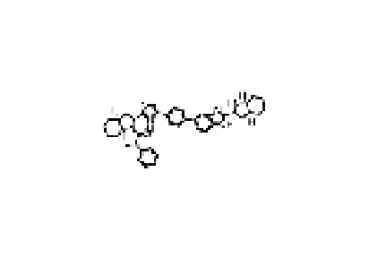 C[C@@H](C(=O)N1[C@H](c2ncc(-c3ccc(-c4ccc5[nH]c([C@@H]6C[C@@H]7CCCC[C@@H]7N6)nc5c4)cc3)[nH]2)C[C@@H]2CCCC[C@@H]21)c1ccccc1